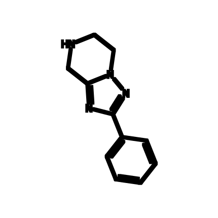 c1ccc(-c2nc3n(n2)CCNC3)cc1